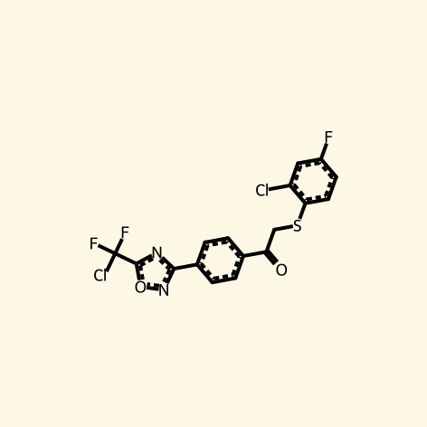 O=C(CSc1ccc(F)cc1Cl)c1ccc(-c2noc(C(F)(F)Cl)n2)cc1